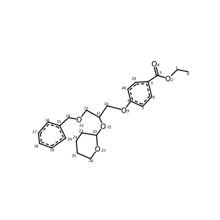 CCOC(=O)c1ccc(OCC(COCc2ccccc2)OC2CCCCO2)cc1